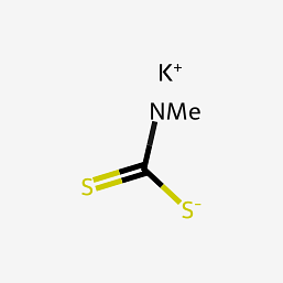 CNC(=S)[S-].[K+]